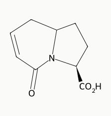 O=C(O)[C@@H]1CCC2CC=CC(=O)N21